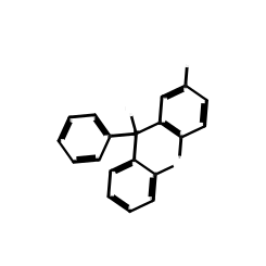 OC1(c2ccccc2)c2ccccc2Sc2ccc(Cl)cc21